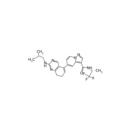 CC(C)CNc1ncc2c(n1)CCC=C2c1ccn2ncc(C(=O)N[C@H](C)C(F)(F)F)c2c1